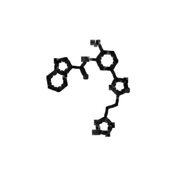 Cc1ccc(-c2noc(CCc3nn[nH]n3)n2)cc1NC(=O)c1cnc2ccccn12